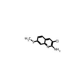 [CH2]Sc1ccc2cc(Cl)c(N)nc2c1